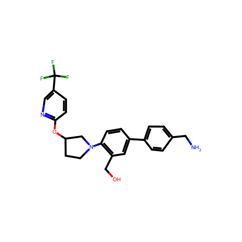 NCc1ccc(-c2ccc(N3CCC(Oc4ccc(C(F)(F)F)cn4)C3)c(CO)c2)cc1